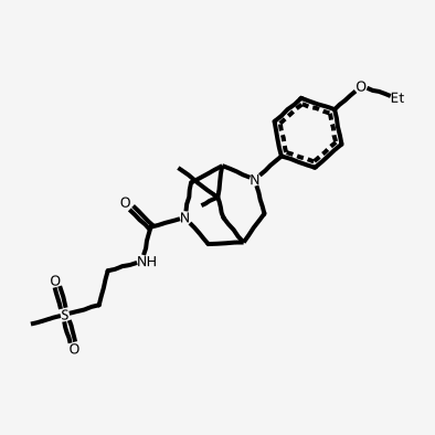 CCOc1ccc(N2CC3CN(C(=O)NCCS(C)(=O)=O)CC2C(C)(C)C3)cc1